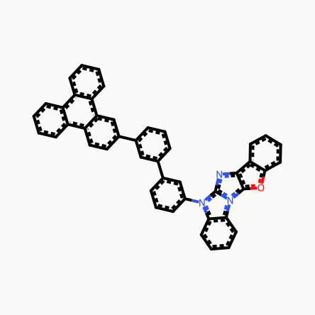 c1cc(-c2cccc(-n3c4ccccc4n4c5oc6ccccc6c5nc34)c2)cc(-c2ccc3c4ccccc4c4ccccc4c3c2)c1